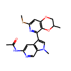 CSc1cc2c(c(-c3cn(C)c4cnc(NC(C)=O)cc34)n1)OC(C)CO2